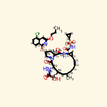 CCCOc1cc2c(Cl)cccc2c(O[C@@H]2C[C@H]3C(=O)N[C@]4(C(=O)NS(=O)(=O)C5CC5)CC4/C=C\CCC(C)C[C@@H](C)[C@H](NC(=O)O)C(=O)N3C2)n1